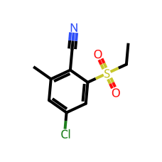 CCS(=O)(=O)c1cc(Cl)cc(C)c1C#N